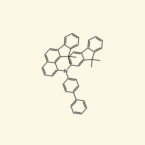 CC1(C)c2ccccc2-c2ccc(N(c3ccc(-c4ccccc4)cc3)c3cccc4ccc5c(c34)C(C)(C)c3ccccc3-5)cc21